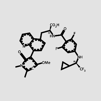 COc1cc(C)n(C)c(=O)c1-c1ccc(C[C@H](NC(=O)c2c(F)cc(N[C@H](C3CC3)C(F)(F)F)cc2F)C(=O)O)c2cccnc12